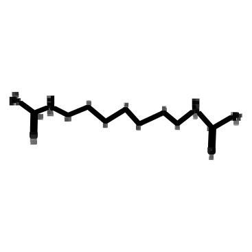 CC(C)C(=O)NCCCCCCCNC(=O)C(C)C